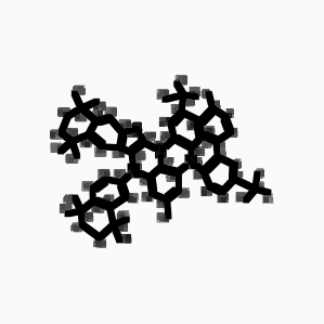 Cc1ccc(-c2cc(C(C)(C)C)ccc2N2c3ccc(C(C)(C)C)cc3B3c4sc5cc6c(cc5c4N(c4ccc5c(c4)C(C)(C)CCC5(C)C)c4cc(C)cc2c43)C(C)(C)CCC6(C)C)cc1